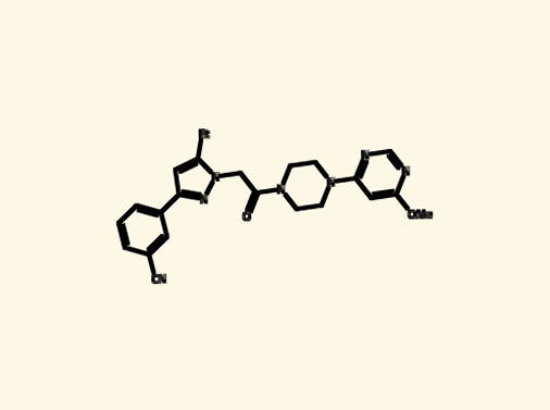 CCc1cc(-c2cccc(C#N)c2)nn1CC(=O)N1CCN(c2cc(OC)ncn2)CC1